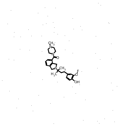 CN1CCN(C(=O)c2cccc3c2CN(C(C)(C)CCc2ccc(O)c(OF)c2)C3)CC1